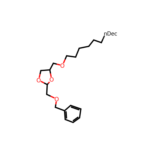 CCCCCCCCCCCCCCCCOCC1COC(COCc2ccccc2)O1